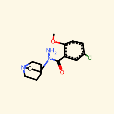 COc1ccc(Cl)cc1C(=O)N(N)C1CN2CCC1CC2